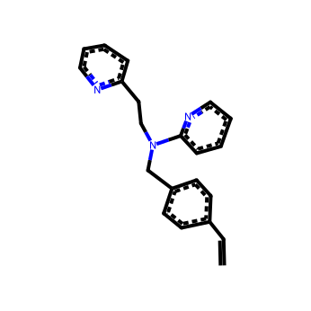 C=Cc1ccc(CN(CCc2ccccn2)c2ccccn2)cc1